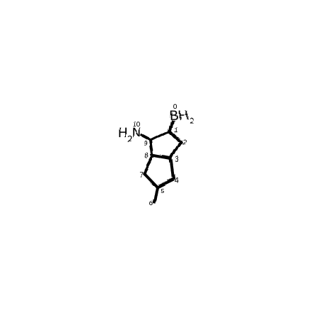 BC1CC2CC(C)CC2C1N